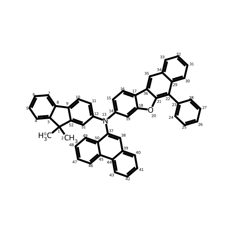 CC1(C)c2ccccc2-c2ccc(N(c3ccc4c(c3)oc3c(-c5ccccc5)c5ccccc5cc34)c3cc4ccccc4c4ccccc34)cc21